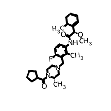 CO[C@@H](C(=O)Nc1ccc(F)c(CN2CCN(C(=O)C3CCCC3)[C@@H](C)C2)c1C)C1=CC=CCC1C